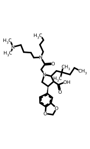 CCCCN(CCCCN(C)C)C(=O)CN1C[C@H](c2ccc3c(c2)OCO3)C(C(=O)O)C1CC(C)(C)CCC